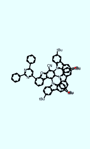 CC(C)(C)c1ccc2c(c1)c1cc(C(C)(C)C)ccc1n2-c1c(-n2c3ccc(C(C)(C)C)cc3c3cc(C(C)(C)C)ccc32)c(-n2c3ccc(C(C)(C)C)cc3c3cc(C(C)(C)C)ccc32)c2c(oc3c(-c4cc(-c5ccccc5)nc(-c5ccccc5)n4)cccc32)c1C#N